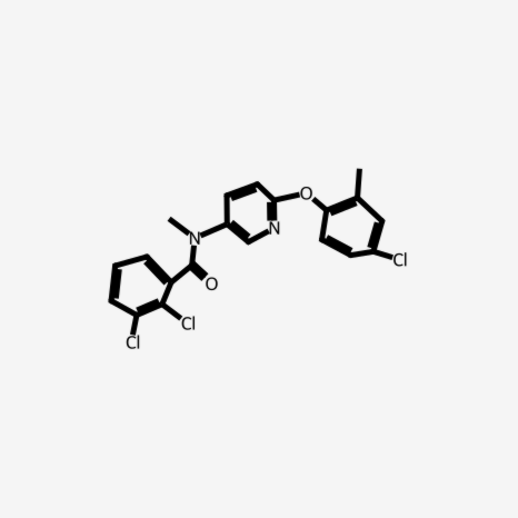 Cc1cc(Cl)ccc1Oc1ccc(N(C)C(=O)c2cccc(Cl)c2Cl)cn1